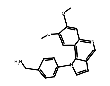 COc1cc2ncc3ccn(-c4ccc(CN)cc4)c3c2cc1OC